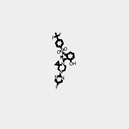 CC(F)(F)c1ccc(S(=O)(=O)n2nc(N3CCN(c4ncc(F)cn4)CC34CC4)c3c(O)cccc32)cc1